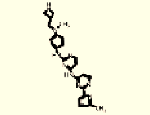 Cc1cccc(-c2nccc(Nc3ccnc(Nc4ccc(N(C)CC5CNC5)cc4)n3)n2)n1